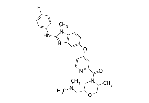 CC1CO[C@H](CN(C)C)CN1C(=O)c1cc(Oc2ccc3c(c2)nc(Nc2ccc(F)cc2)n3C)ccn1